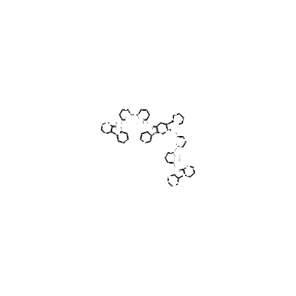 c1cc(-c2cccc(-n3c4ccccc4c4cc5c(cc43)c3ccccc3n5-c3cccc(-c4cccc(-n5c6ccccc6c6ccccc65)n4)n3)n2)nc(-n2c3ccccc3c3ccccc32)c1